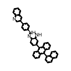 N=C1C=C(c2c3ccccc3c(-c3cccc4ccccc34)c3ccccc23)C=C/C1=N/Nc1ccc(-c2cnc3ccccc3c2)cc1